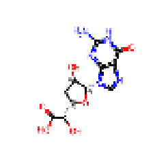 Nc1nc2c(ncn2[C@@H]2O[C@H](C(O)C(=O)O)C[C@H]2O)c(=O)[nH]1